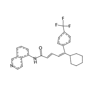 O=C(C=CC=C(c1ccc(C(F)(F)F)cc1)C1CCCCC1)Nc1cccc2cnccc12